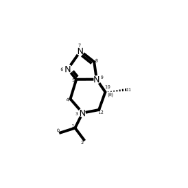 CC(C)N1Cc2nncn2[C@H](C)C1